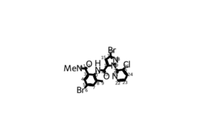 CNC(=O)c1cc(Br)cc(C)c1NC(=O)c1cc(Br)nn1-c1ncccc1Cl